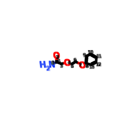 NC(=O)COCCOc1ccccc1